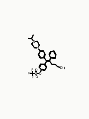 CC(C)N1CCN(c2ccc(/C(=C(/CCCO)c3ccccc3)c3ccc(OS(=O)(=O)C(F)(F)F)cc3)cc2)CC1